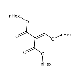 CCCCCCOC=C(C(=O)OCCCCCC)C(=O)OCCCCCC